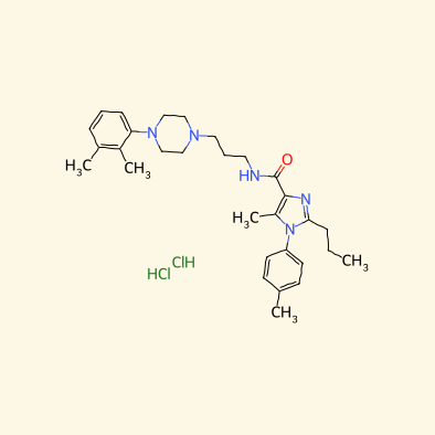 CCCc1nc(C(=O)NCCCN2CCN(c3cccc(C)c3C)CC2)c(C)n1-c1ccc(C)cc1.Cl.Cl